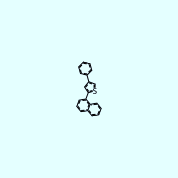 c1ccc(-c2csc(-c3cccc4ccccc34)c2)cc1